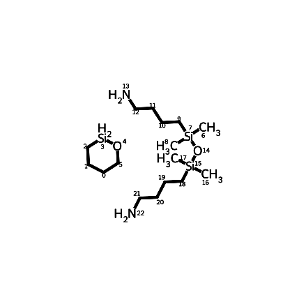 C1CC[SiH2]OC1.C[Si](C)(CCCCN)O[Si](C)(C)CCCCN